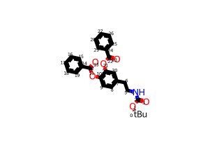 CC(C)(C)OC(=O)NCCc1ccc(OC(=O)c2ccccc2)c(OC(=O)c2ccccc2)c1